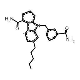 CCCCCc1c[c]c2c3c(C(N)=O)cccc3n(Cc3cccc(C(N)=O)c3)c2c1